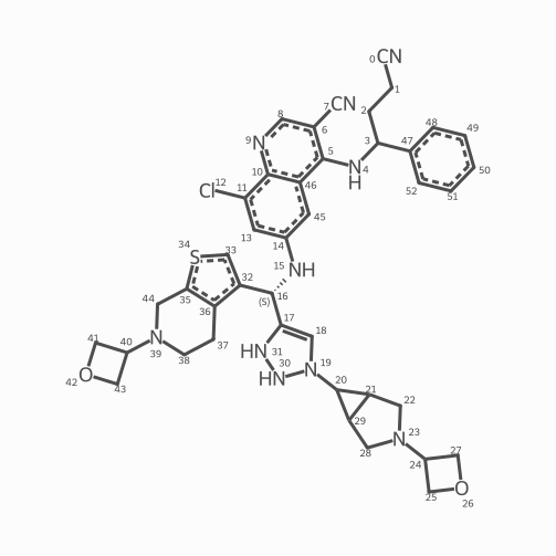 N#CCCC(Nc1c(C#N)cnc2c(Cl)cc(N[C@H](C3=CN(C4C5CN(C6COC6)CC54)NN3)c3csc4c3CCN(C3COC3)C4)cc12)c1ccccc1